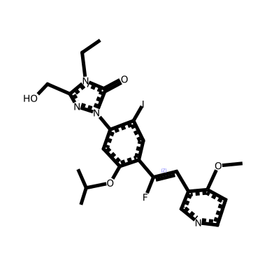 CCn1c(CO)nn(-c2cc(OC(C)C)c(/C(F)=C/c3cnccc3OC)cc2I)c1=O